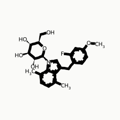 COc1ccc(Cc2cn([C@@H]3O[C@H](CO)[C@@H](O)[C@H](O)[C@H]3O)c3c(C)ccc(C)c23)c(F)c1